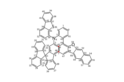 c1ccc(N(c2ccc3c(c2)C2(c4ccccc4-c4ccccc42)c2ccccc2-3)c2cccc3c2sc2ccccc23)c(-c2cccc3c2oc2cc4ccccc4cc23)c1